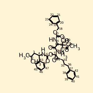 CC(C)CC(NC(=O)OC1(NC(=O)[C@@H](NC(=O)OCc2ccccc2)C(C)(C)S(C)(=O)=O)O[C@@H]1CCCc1ccccc1)c1ccccc1